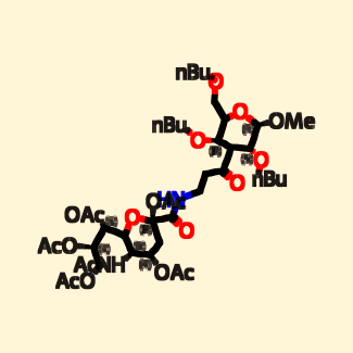 CCCCOCC1O[C@@H](OC)[C@@H](OCCCC)C(C(=O)CCNC(=O)[C@]2(OC(C)=O)C[C@@H](OC(C)=O)[C@@H](NC(C)=O)C([C@H](OC(C)=O)[C@@H](COC(C)=O)OC(C)=O)O2)[C@H]1OCCCC